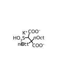 CCCCCCCCC(CCCCCCCC)(C(=O)[O-])C(C(=O)[O-])S(=O)(=O)O.[K+].[K+]